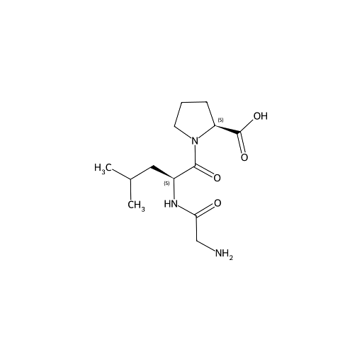 CC(C)C[C@H](NC(=O)CN)C(=O)N1CCC[C@H]1C(=O)O